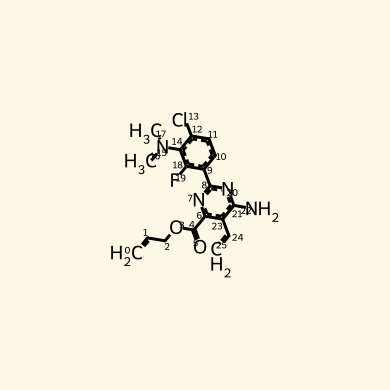 C=CCOC(=O)c1nc(-c2ccc(Cl)c(N(C)C)c2F)nc(N)c1C=C